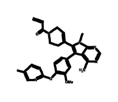 C=CC(=O)N1CC=C(c2c(-c3ccc(Oc4ccc(C)cn4)c(OC)c3)c3c(N)ncnc3n2C)CC1